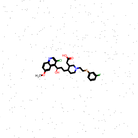 COc1ccc2ncc(Cl)c([C@H](O)CCC3CCN(CCSc4cccc(F)c4)CC3CC(=O)O)c2c1